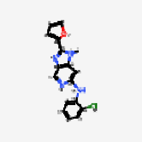 Cn1c(-c2ccco2)nc2cnc(Nc3ccccc3Cl)cc21